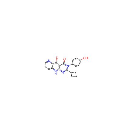 O=c1c2ncccc2[nH]c2nc(C3CCC3)n(-c3ccc(O)cc3)c(=O)c12